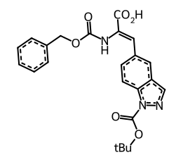 CC(C)(C)OC(=O)n1ncc2cc(/C=C(\NC(=O)OCc3ccccc3)C(=O)O)ccc21